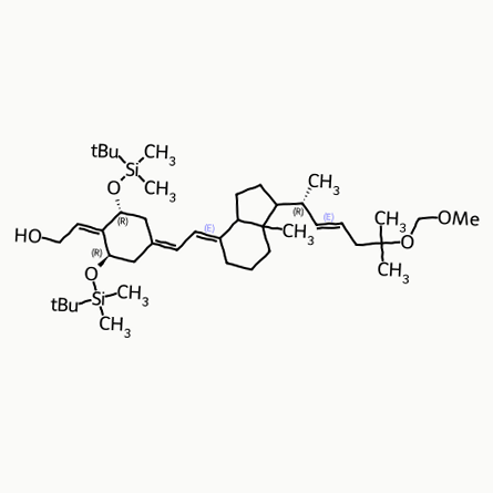 COCOC(C)(C)C/C=C/[C@@H](C)C1CCC2/C(=C/C=C3C[C@@H](O[Si](C)(C)C(C)(C)C)C(=CCO)[C@H](O[Si](C)(C)C(C)(C)C)C3)CCCC21C